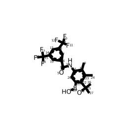 Cc1c(NC(=O)c2cc(C(F)(F)F)cc(C(F)(F)F)c2)cc2c(c1C)C(C)(C)OB2O